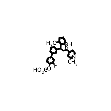 Cc1cc(/C(CC(c2cccc(-c3ccc(OC(=O)O)c(F)c3)c2)c2ccccc2C)=N/O)ccn1